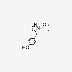 Oc1ccc(Cc2ccnn2C2CCCCO2)cc1